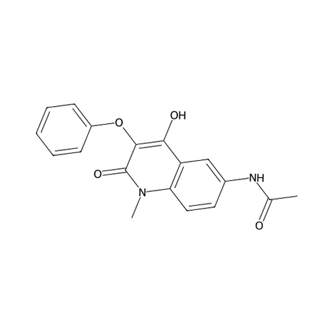 CC(=O)Nc1ccc2c(c1)c(O)c(Oc1ccccc1)c(=O)n2C